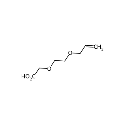 C=CCOCCOCC(=O)O